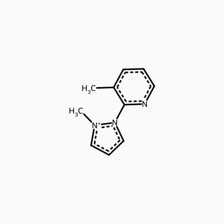 Cc1cccnc1-n1ccc[n+]1C